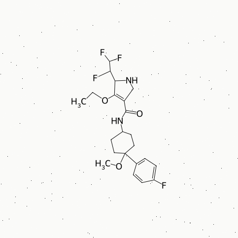 CCOC1=C(C(=O)NC2CCC(OC)(c3ccc(F)cc3)CC2)CNC1C(F)C(F)F